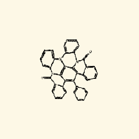 O=c1c2ccccc2c2c(-c3ccccc3)c3c4ccccc4c(=O)n4c3c3c2n1-c1ccccc1N3c1ccccc1-4